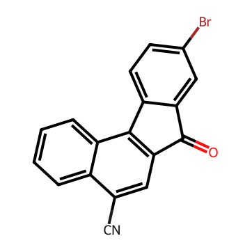 N#Cc1cc2c(c3ccccc13)-c1ccc(Br)cc1C2=O